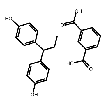 CCC(c1ccc(O)cc1)c1ccc(O)cc1.O=C(O)c1cccc(C(=O)O)c1